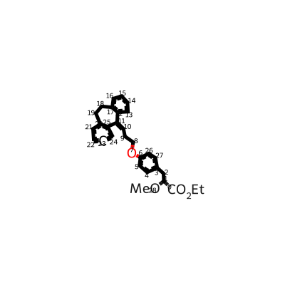 CCOC(=O)C(Cc1ccc(OCCC=C2c3ccccc3CCc3ccccc32)cc1)OC